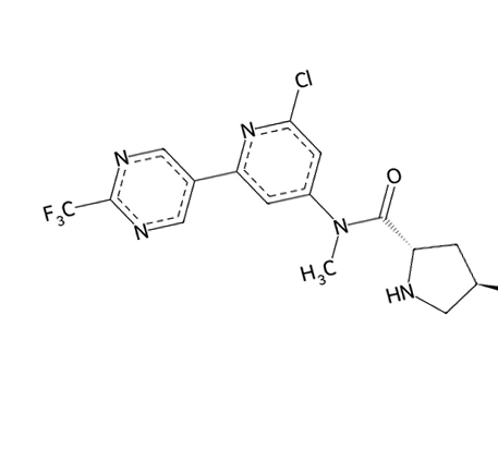 CN(C(=O)[C@@H]1C[C@@H](F)CN1)c1cc(Cl)nc(-c2cnc(C(F)(F)F)nc2)c1